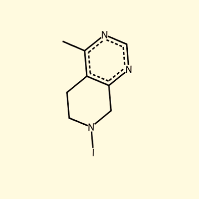 Cc1ncnc2c1CCN(I)C2